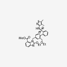 CCOCc1cc(Cn2c(OCC)nc3cccc(C(=O)OC)c32)ccc1-c1ccccc1S(=O)(=O)Nc1nsc(C)c1C